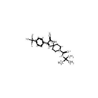 CC(C)(C)OC(=O)N1CCC2(CC1)N=C(c1ccc(C(F)(F)F)cc1)C(=O)N2